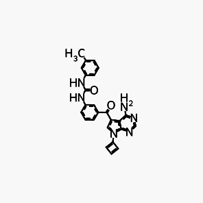 Cc1cccc(NC(=O)Nc2cccc(C(=O)c3cn(C4=CC=C4)c4ncnc(N)c34)c2)c1